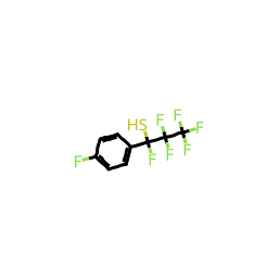 Fc1ccc(C(F)(S)C(F)(F)C(F)(F)F)cc1